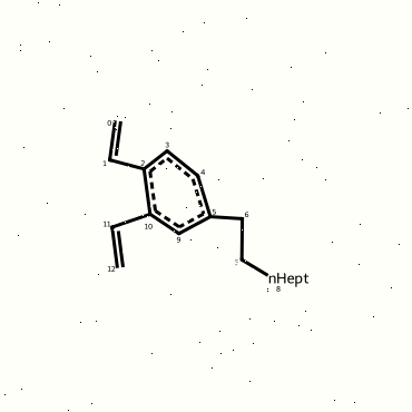 C=Cc1ccc(CCCCCCCCC)cc1C=C